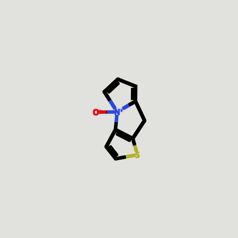 [O-][N+]12C=CC=C1Cc1sccc12